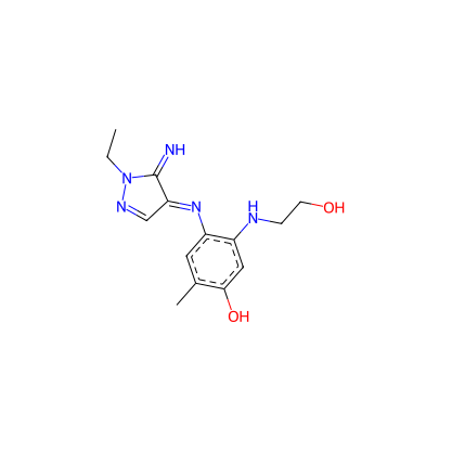 CCN1N=CC(=Nc2cc(C)c(O)cc2NCCO)C1=N